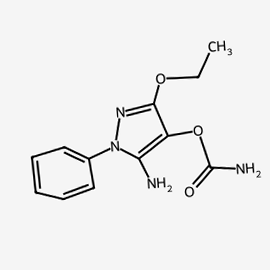 CCOc1nn(-c2ccccc2)c(N)c1OC(N)=O